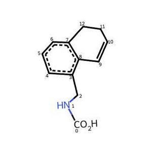 O=C(O)NCc1cccc2c1C=CCC2